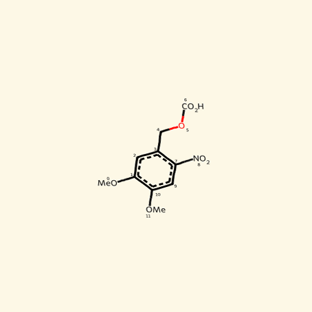 COc1cc(COC(=O)O)c([N+](=O)[O-])cc1OC